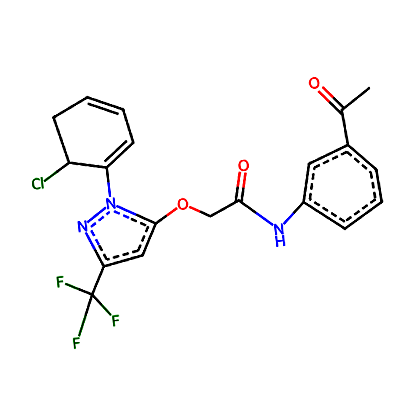 CC(=O)c1cccc(NC(=O)COc2cc(C(F)(F)F)nn2C2=CC=CCC2Cl)c1